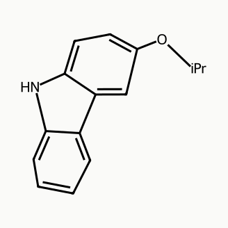 CC(C)Oc1ccc2[nH]c3ccccc3c2c1